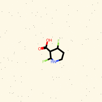 O=C(O)C1C(F)CCNC1F